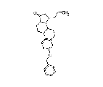 C=CCC1CC(=O)C2CCC3c4ccc(OCc5ccccc5)cc4CCC3C12